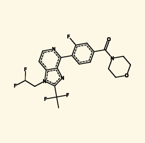 CC(F)(F)c1nc2c(-c3ccc(C(=O)N4CCOCC4)cc3F)nccc2n1CC(F)F